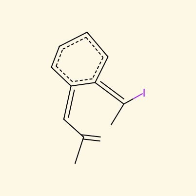 C=C(C)/C=c1/cccc/c1=C(/C)I